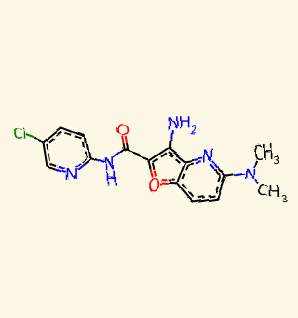 CN(C)c1ccc2oc(C(=O)Nc3ccc(Cl)cn3)c(N)c2n1